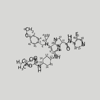 COc1ccc(CN(C2=CC(NC3CCC(NC(=O)OC(C)(C)C)CC3)=NN3C2=NCC3C(=O)Nc2ccncc2F)C2CC2)cc1